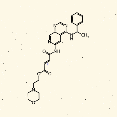 CC(Nc1ncnc2cnc(NC(=O)/C=C/C(=O)OCCN3CCOCC3)cc12)c1ccccc1